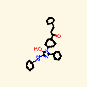 O=C(/C=C/c1ccccc1)c1ccc(-n2c(-c3ccccc3)nc(/N=N/c3ccccc3)c2O)cc1